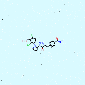 CN(C)C(=O)c1ccc(/C=C/C(=O)C(N)c2cccn2-c2ccc(Cl)c(CO)c2Cl)cc1